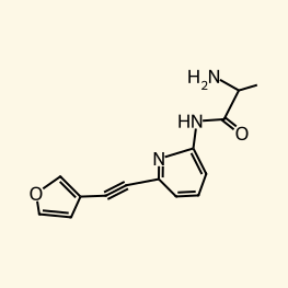 CC(N)C(=O)Nc1cccc(C#Cc2ccoc2)n1